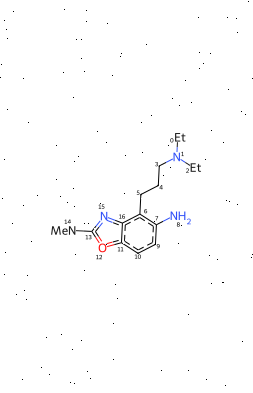 CCN(CC)CCCc1c(N)ccc2oc(NC)nc12